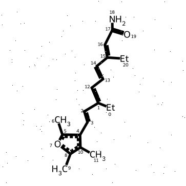 CCC(/C=C/c1c(C)oc(C)c1C)=C\C=C\C(=C\C(N)=O)CC